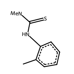 CNC(=S)Nc1ccccc1C